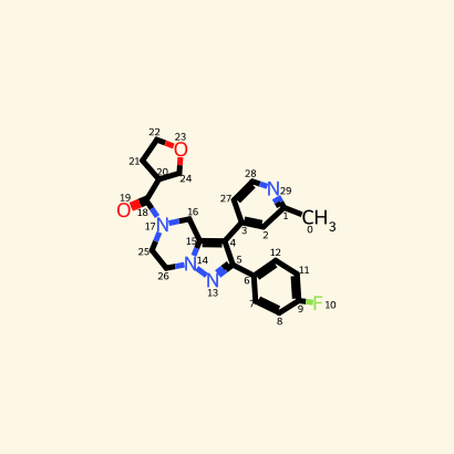 Cc1cc(-c2c(-c3ccc(F)cc3)nn3c2CN(C(=O)C2CCOC2)CC3)ccn1